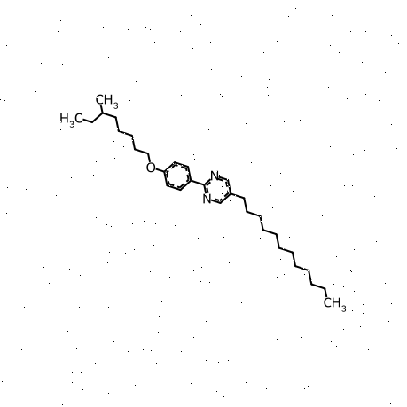 CCCCCCCCCCCCc1cnc(-c2ccc(OCCCCCC(C)CC)cc2)nc1